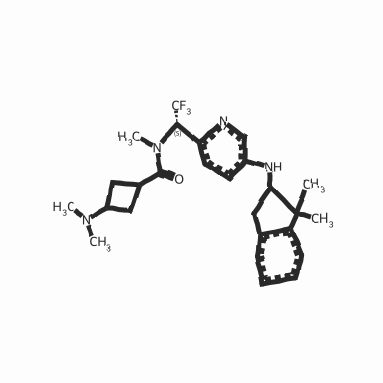 CN(C)C1CC(C(=O)N(C)[C@@H](c2ccc(NC3Cc4ccccc4C3(C)C)cn2)C(F)(F)F)C1